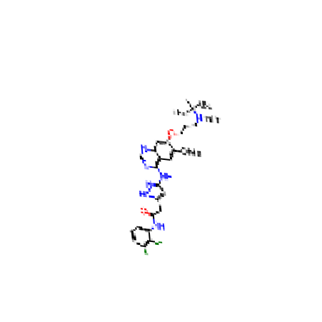 [CH2]C(N(CCC)CCCOc1cc2ncnc(Nc3cc(CC(=O)Nc4cccc(F)c4F)[nH]n3)c2cc1OC)(C(C)(C)C)C(C)(C)C